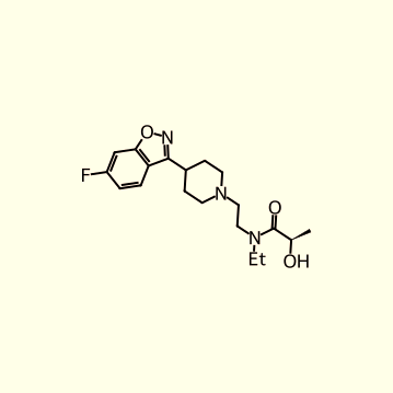 CCN(CCN1CCC(c2noc3cc(F)ccc23)CC1)C(=O)[C@@H](C)O